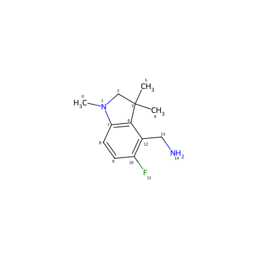 CN1CC(C)(C)c2c1ccc(F)c2CN